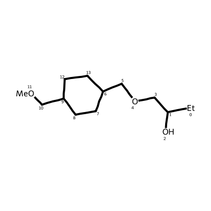 CCC(O)COCC1CCC(COC)CC1